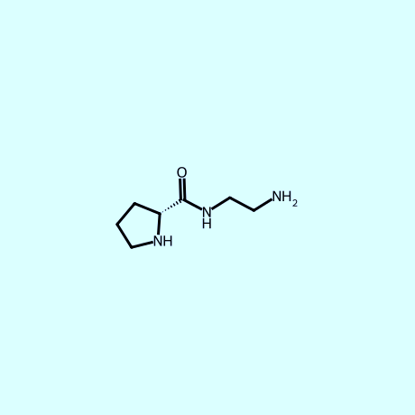 NCCNC(=O)[C@H]1CCCN1